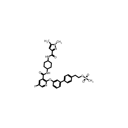 Cc1cc(C(=O)NC2CCC(NC(=O)c3cc(F)cnc3Oc3cccc(-c4ccc(CCOS(C)(=O)=O)cc4)c3)CC2)nn1C